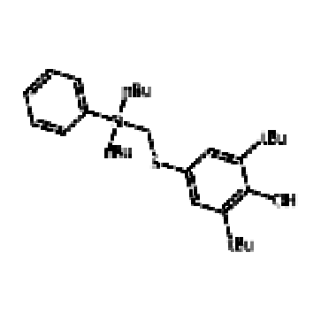 CCCC[Si](CCCC)(CSc1cc(C(C)(C)C)c(O)c(C(C)(C)C)c1)c1ccccc1